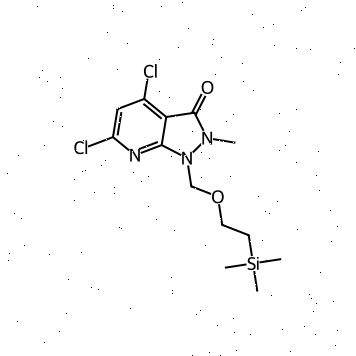 Cn1c(=O)c2c(Cl)cc(Cl)nc2n1COCC[Si](C)(C)C